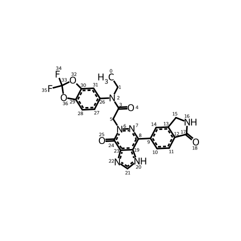 CCN(C(=O)Cn1nc(-c2ccc3c(c2)CNC3=O)c2[nH]cnc2c1=O)c1ccc2c(c1)OC(F)(F)O2